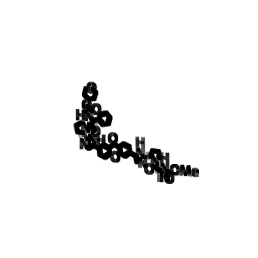 COC(=O)N[C@H](C(=O)N1CCC[C@H]1c1ncc(-c2ccc3c(=O)c4cc(-c5cnc([C@@H]6CCCN6C(=O)[C@H](NC(=O)OC6CCOCC6)c6ccccc6)[nH]5)ccc4oc3c2)[nH]1)C(C)C